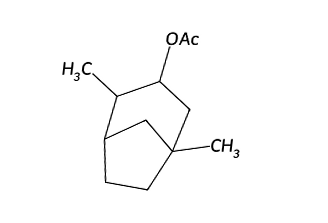 CC(=O)OC1CC2(C)CCC(C2)C1C